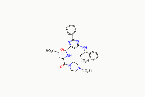 CCOC(=O)N1CCN(C(=O)C(CCC(=O)O)NC(=O)c2cc(N[C@H](CC(=O)O)c3ccccc3)nc(-c3ccccc3)n2)CC1